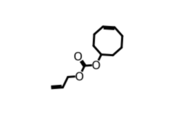 C=CCOC(=O)OC1CCC=CCCC1